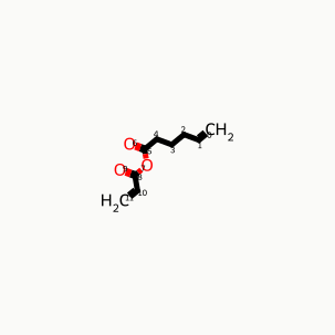 C=CCCCC(=O)OC(=O)C=C